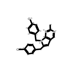 Cc1ncc2cc(Cc3ccc(Cl)cc3)n(Cc3ccc(Cl)cc3)c2n1